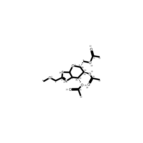 COCC1=NC2C(O[C@H](COC(C)=O)[C@@H](OC(C)=O)[C@@H]2OC(C)=O)S1